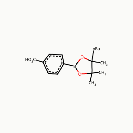 CCCCC1(C)OB(c2ccc(C(=O)O)cc2)OC1(C)C